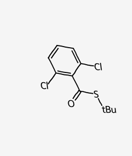 CC(C)(C)SC(=O)c1c(Cl)cccc1Cl